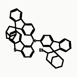 CCC1CC2CCCC(C2)C12c1ccccc1-c1ccc(N(c3ccc4c(c3)C3(CC5CCC3C5)c3ccccc3-4)c3cccc4sc5ccccc5c34)cc12